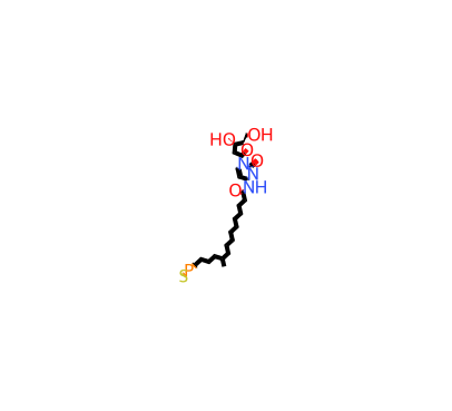 CC(CCCC#P=S)CCCCCCCCCC(=O)Nc1ccn([C@H]2C[C@H](O)[C@@H](CO)O2)c(=O)n1